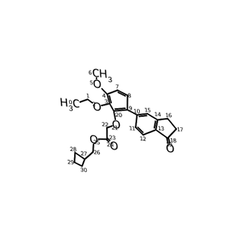 CCOc1c(OC)ccc(-c2ccc3c(c2)CCC3=O)c1OCC(=O)OCC1CCC1